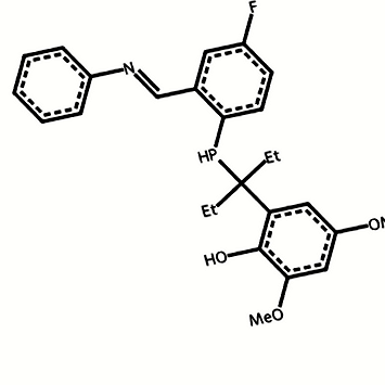 CCC(CC)(Pc1ccc(F)cc1/C=N/c1ccccc1)c1cc(OC)cc(OC)c1O